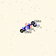 COc1cc(CNC(=O)c2nc(-c3ccc(OC)c4nc(C(F)(F)F)ccc34)oc2[C@H](C)N)nc2ccccc12